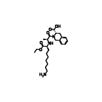 CCOC(=O)[C@H](CCCCCCCN)N[C@@H](C)C(=O)N1Cc2ccccc2C[C@H]1C(=O)O